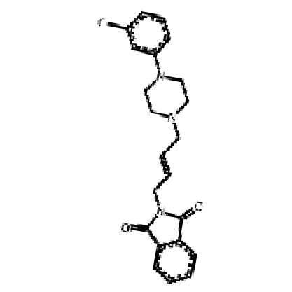 O=C1c2ccccc2C(=O)N1CC=CCN1CCN(c2cccc(Cl)c2)CC1